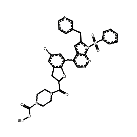 CC(C)(C)OC(=O)N1CCN(C(=O)C2Cc3cc(Cl)cc(-c4ccnc5c4cc(Cc4cccnc4)n5S(=O)(=O)c4ccccc4)c3O2)CC1